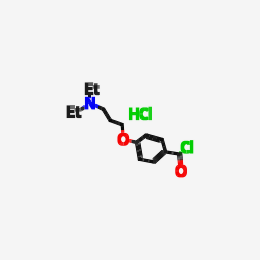 CCN(CC)CCCOc1ccc(C(=O)Cl)cc1.Cl